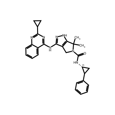 CC1(C)c2[nH]nc(Nc3nc(C4CC4)nc4ccccc34)c2CN1C(=O)N[C@@H]1CC1c1ccccc1